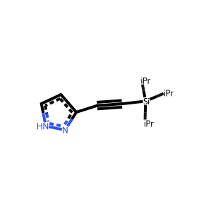 CC(C)[Si](C#Cc1cc[nH]n1)(C(C)C)C(C)C